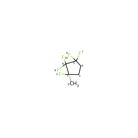 C[C@@]1(F)CCC(F)(F)C1(F)F